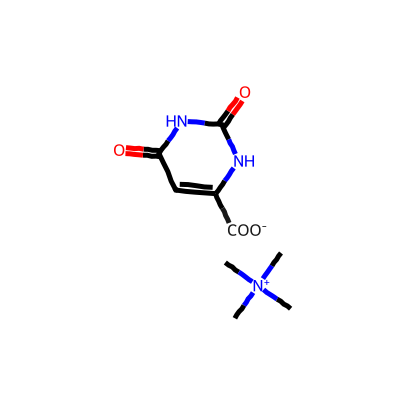 C[N+](C)(C)C.O=C([O-])c1cc(=O)[nH]c(=O)[nH]1